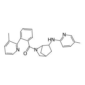 Cc1ccc(NC2CC3CC2N(C(=O)c2ccccc2-c2ncccc2C)C3)nc1